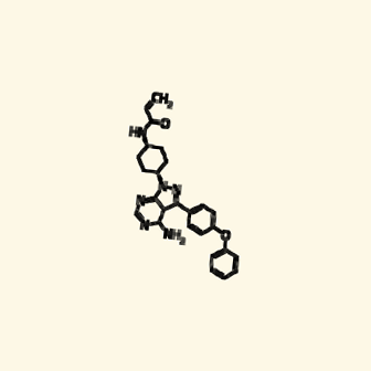 C=CC(=O)N[C@H]1CC[C@@H](N2N=C(c3ccc(Oc4ccccc4)cc3)C3C2=NC=NC3N)CC1